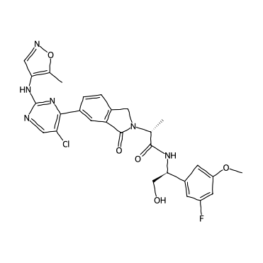 COc1cc(F)cc([C@@H](CO)NC(=O)[C@@H](C)N2Cc3ccc(-c4nc(Nc5cnoc5C)ncc4Cl)cc3C2=O)c1